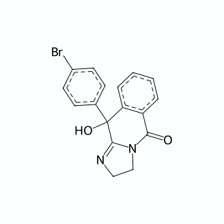 O=C1c2ccccc2C(O)(c2ccc(Br)cc2)C2=NCCN12